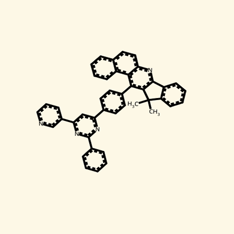 CC1(C)c2ccccc2-c2nc3ccc4ccccc4c3c(-c3ccc(-c4cc(-c5cccnc5)nc(-c5ccccc5)n4)cc3)c21